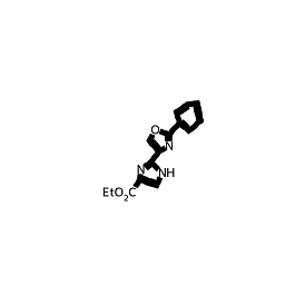 CCOC(=O)c1c[nH]c(-c2coc(-c3ccccc3)n2)n1